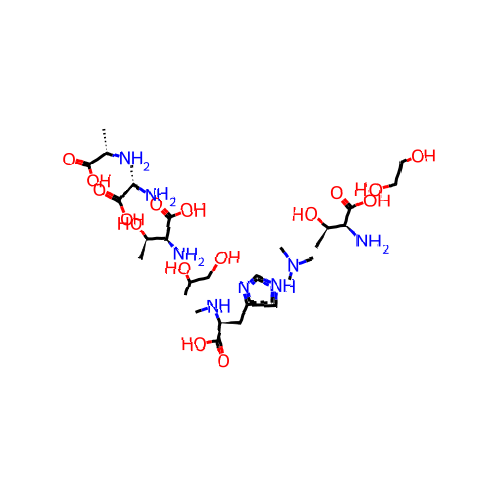 CC(O)CO.CN(C)C.CN[C@@H](Cc1c[nH]cn1)C(=O)O.C[C@@H](O)[C@H](N)C(=O)O.C[C@@H](O)[C@H](N)C(=O)O.C[C@H](N)C(=O)O.C[C@H](N)C(=O)O.OCCO